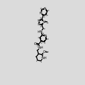 COC1NCCCC1CNC(=O)c1ccnc(NCc2nnc(-c3ccncn3)n2C)c1